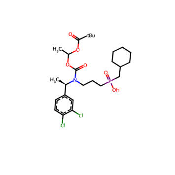 CC(OC(=O)N(CCCP(=O)(O)CC1CCCCC1)[C@H](C)c1ccc(Cl)c(Cl)c1)OC(=O)C(C)(C)C